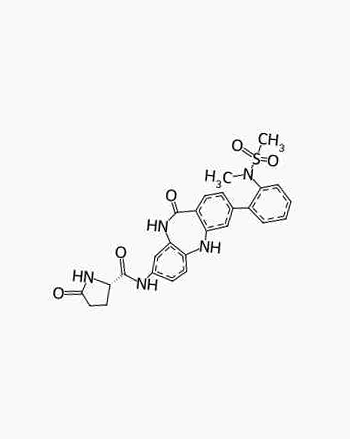 CN(c1ccccc1-c1ccc2c(c1)Nc1ccc(NC(=O)[C@@H]3CCC(=O)N3)cc1NC2=O)S(C)(=O)=O